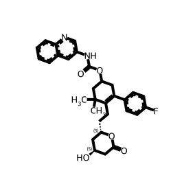 CC1(C)CC(OC(=O)Nc2cnc3ccccc3c2)CC(c2ccc(F)cc2)=C1CC[C@H]1C[C@H](O)CC(=O)O1